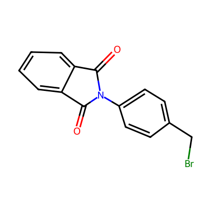 O=C1c2ccccc2C(=O)N1c1ccc(CBr)cc1